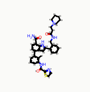 Cc1c(NC(=O)c2nccs2)cccc1-c1ccc(C(N)=O)c2[nH]c(-c3ccccc3CNC(=O)CCN3CCCCC3)cc12